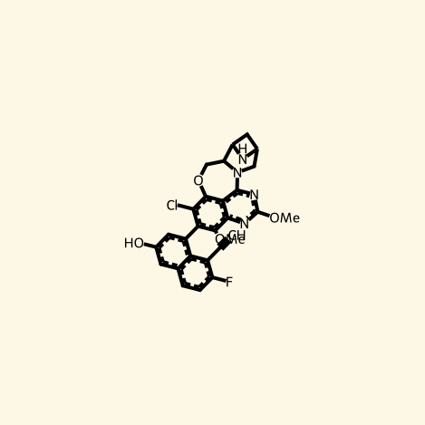 C#Cc1c(F)ccc2cc(O)cc(-c3c(Cl)c4c5c(nc(OC)nc5c3OC)N3CC5CC(N5)C3CO4)c12